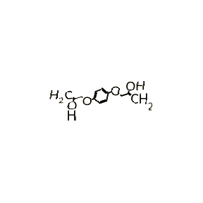 C=C(O)COc1ccc(OCC(=C)O)cc1